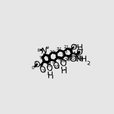 COC(=O)c1cc(N(C)C)c2c(c1O)C(=O)C1=C(O)C3C(CC(O)=C(C(N)=O)[C@]3(C)O)CC1C2